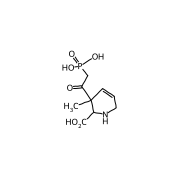 CC1(C(=O)CP(=O)(O)O)C=CCNC1C(=O)O